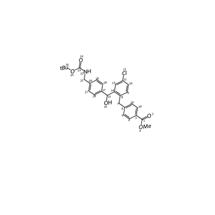 COC(=O)c1ccc(Cc2ccc(Cl)cc2C(O)c2ccc(CNC(=O)OC(C)(C)C)cc2)cc1